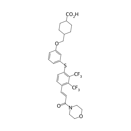 O=C(O)C1CCC(COc2cccc(Sc3ccc(/C=C/C(=O)N4CCOCC4)c(C(F)(F)F)c3C(F)(F)F)c2)CC1